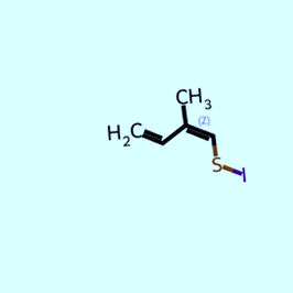 C=C/C(C)=C\SI